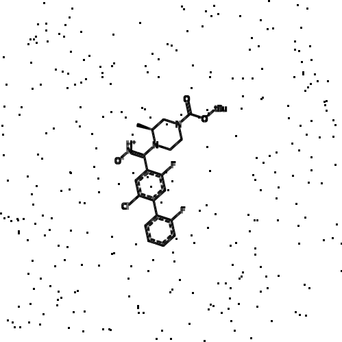 C[C@H]1CN(C(=O)OC(C)(C)C)CCN1C(=[NH+][O-])c1cc(Cl)c(-c2ccccc2F)cc1F